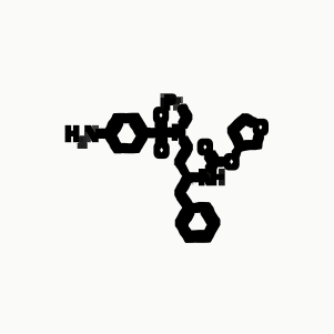 CC(C)CN(CC[C@H](Cc1ccccc1)NC(=O)O[C@H]1CCOC1)S(=O)(=O)C1=CC=C(N)CC1